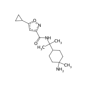 CC1(N)CCC(C(C)(C)NC(=O)c2cc(C3CC3)on2)CC1